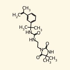 C=C(C)c1cccc(C(C)(C)NC(=O)NCCN2C(=O)NC(C)(C)C2=O)c1